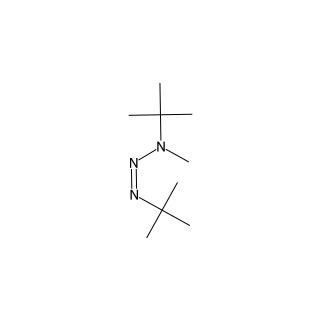 CN(/N=N\C(C)(C)C)C(C)(C)C